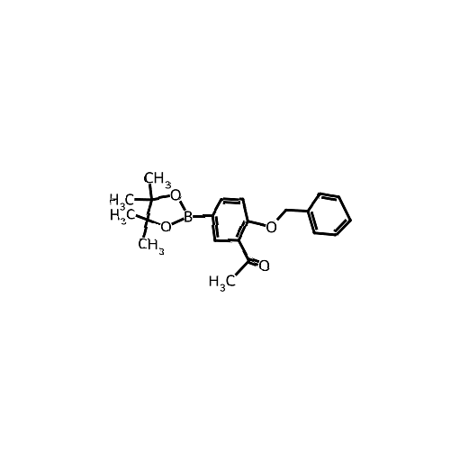 CC(=O)c1cc(B2OC(C)(C)C(C)(C)O2)ccc1OCc1ccccc1